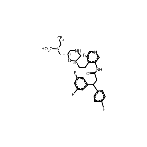 O=C(CC(c1ccc(F)cc1)c1cc(F)cc(F)c1)Nc1cncc(F)c1CC[C@@H]1CNC[C@@H](CN(CC(F)(F)F)C(=O)O)O1